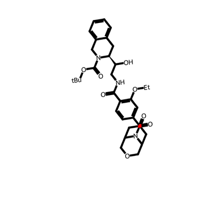 CCOc1cc(C(=O)N2C3COCC2CC(=O)C3)ccc1C(=O)NCC(O)[C@@H]1Cc2ccccc2CN1C(=O)OC(C)(C)C